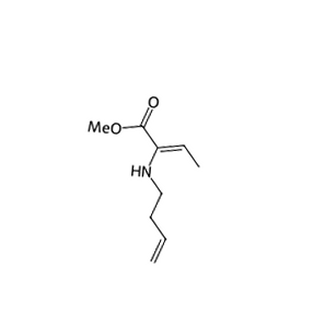 C=CCCNC(=CC)C(=O)OC